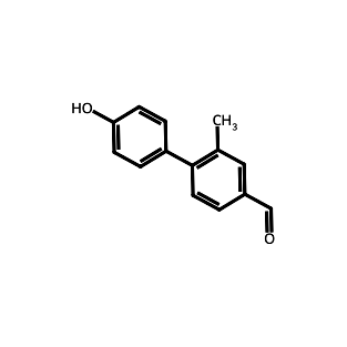 Cc1cc(C=O)ccc1-c1ccc(O)cc1